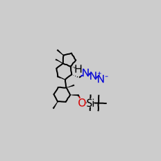 C[C@H]1CC[C@](C)([C@H]2CC[C@]3(C)[C@@H](C)CC[C@H]3[C@@H]2CN=[N+]=[N-])[C@@H](CO[Si](C)(C)C(C)(C)C)C1